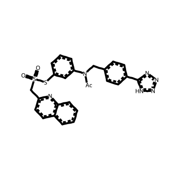 CC(=O)N(Cc1ccc(-c2nnn[nH]2)cc1)c1cccc(SS(=O)(=O)Cc2ccc3ccccc3n2)c1